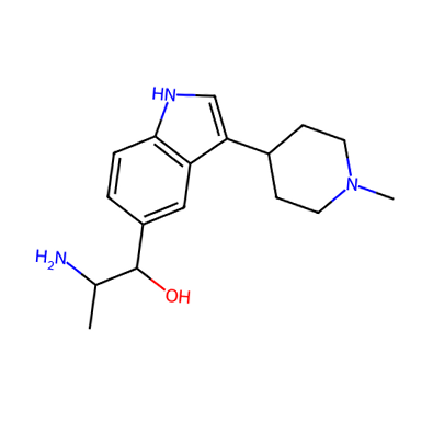 CC(N)C(O)c1ccc2[nH]cc(C3CCN(C)CC3)c2c1